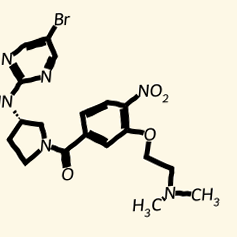 CN(C)CCOc1cc(C(=O)N2CC[C@H](Nc3ncc(Br)cn3)C2)ccc1[N+](=O)[O-]